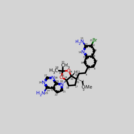 COC[C@]1(CCc2ccc3cc(Br)c(N)nc3c2)CC[C@@]2(n3ccc4c(N)ncnc43)OC(C)(C)O[C@H]12